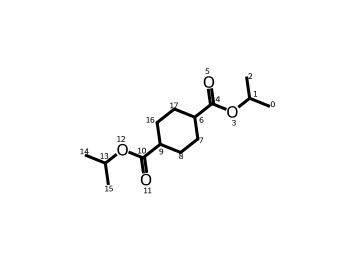 CC(C)OC(=O)C1CCC(C(=O)OC(C)C)CC1